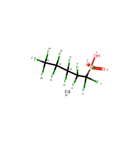 O=S(=O)(O)C(F)(F)C(F)(F)C(F)(F)C(F)(F)C(F)(F)F.[Cd]